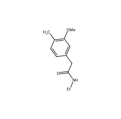 CCNC(=O)Cc1ccc(C)c(OC)c1